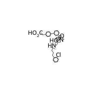 CN(CC(O)CNC(C)(C)CCCc1ccccc1Cl)S(=O)(=O)c1cccc(-c2ccc(CC(=O)O)cc2)c1